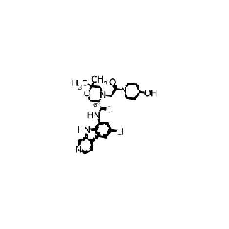 CC1(C)CN(CC(=O)N2CCC(O)CC2)[C@H](C(=O)Nc2cc(Cl)cc3c2[nH]c2cnccc23)CO1